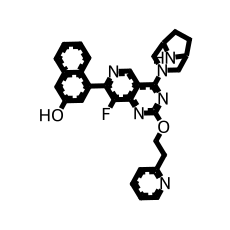 Oc1cc(-c2ncc3c(N4CC5CCC(C4)N5)nc(OCCc4ccccn4)nc3c2F)c2ccccc2c1